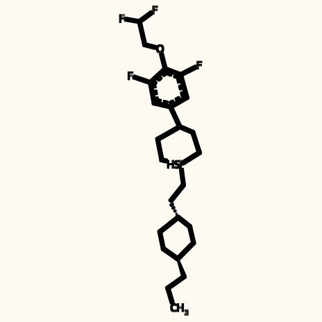 CCC[C@H]1CC[C@H](CC[SiH]2CCC(c3cc(F)c(OCC(F)F)c(F)c3)CC2)CC1